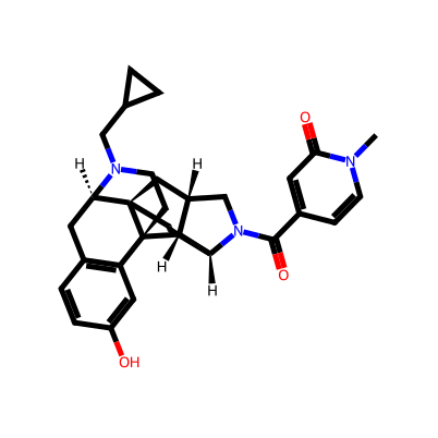 Cn1ccc(C(=O)N2C[C@H]3C[C@@]45CC[C@@H]2[C@@H]3[C@@]42CCN(CC3CC3)[C@@H]5Cc3ccc(O)cc32)cc1=O